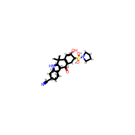 CC1(C)C2=C(CC(S(=O)(=O)N3CCCC3)C(O)=C2)C(=O)c2c1[nH]c1cc(C#N)ccc21